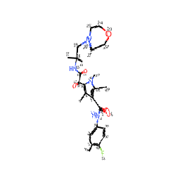 Cc1cc(NC(=O)c2c(C)c(C(=O)C(=O)NC(C)(C)CN3CCOCC3)n(C)c2C)ccc1F